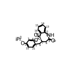 CC(C)Oc1ccc(CC2CC(=O)Nc3ccccc3S2(=O)=O)cc1